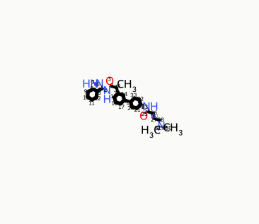 CC(C(=O)Nc1n[nH]c2ccccc12)c1cccc(-c2ccc(NC(=O)/C=C/CN(C)C)cc2)c1